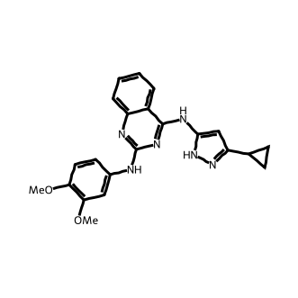 COc1ccc(Nc2nc(Nc3cc(C4CC4)n[nH]3)c3ccccc3n2)cc1OC